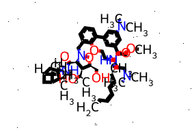 C=C/C=C\C=C\C[C@@H](CN(C)C)NC(=O)c1cc(-c2cccc(CN3O[C@@H](CO)[C@@H]([C@H](C)O)[C@H]3C(=O)N[C@H]3C[C@H]4CC([C@@H]3C)C4(C)C)c2OCCN(C)CCOC)cc(N(C)C)c1